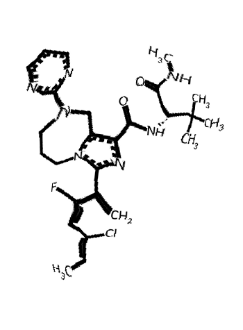 C=C(/C(F)=C\C(Cl)=C/C)c1nc(C(=O)N[C@H](C(=O)NC)C(C)(C)C)c2n1CCCN(c1ncccn1)C2